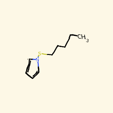 CCCCCSn1[c]ccc1